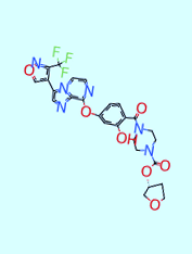 O=C(O[C@@H]1CCOC1)N1CCN(C(=O)c2ccc(Oc3nccn4c(-c5conc5C(F)(F)F)cnc34)cc2O)CC1